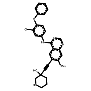 COc1cc2ncnc(Nc3ccc(Oc4ccccc4)c(Cl)c3)c2cc1C#CC1(O)CCCNC1